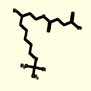 CCC(CCCCCOC(C)(C)CC)CCOC(=O)CCC(=O)C(C)C